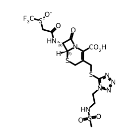 CS(=O)(=O)NCCn1nnnc1SCC1=C(C(=O)O)N2C(=O)[C@@H](NC(=O)C[S+]([O-])C(F)(F)F)[C@H]2SC1